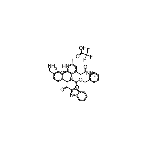 Cc1cc(CC(N)=O)c(N(C(=O)OCc2ccccc2)C(C(=O)c2nc3ccccc3s2)c2ccc(CN)cc2)c(=O)[nH]1.O=C(O)C(F)(F)F